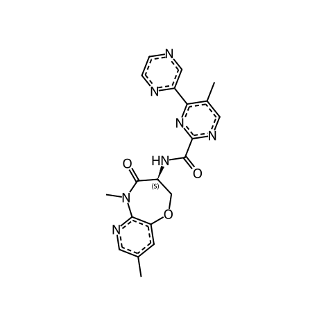 Cc1cnc2c(c1)OC[C@H](NC(=O)c1ncc(C)c(-c3cnccn3)n1)C(=O)N2C